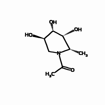 CC(=O)N1C[C@@H](O)[C@H](O)[C@H](O)[C@@H]1C